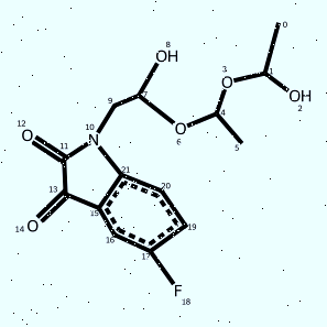 CC(O)OC(C)OC(O)CN1C(=O)C(=O)c2cc(F)ccc21